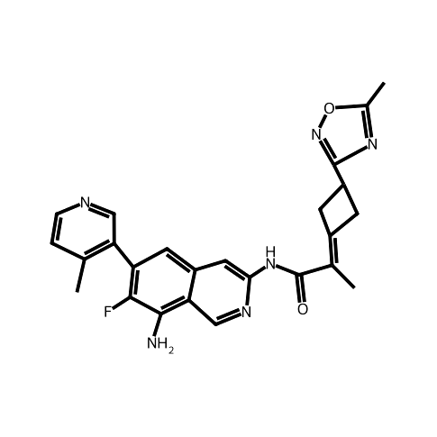 CC(C(=O)Nc1cc2cc(-c3cnccc3C)c(F)c(N)c2cn1)=C1CC(c2noc(C)n2)C1